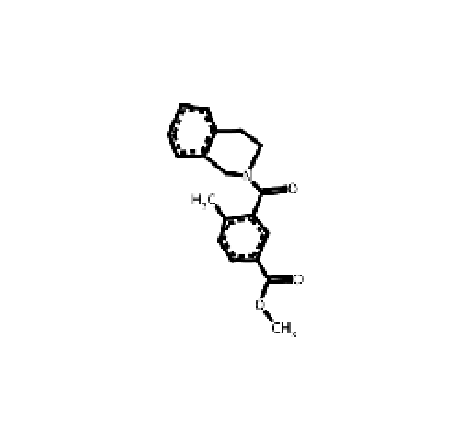 COC(=O)c1ccc(C)c(C(=O)N2CCc3ccccc3C2)c1